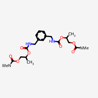 CNC(=O)OCC(C)OC(=O)NCc1cccc(CNC(=O)OC(C)COC(=O)NC)c1